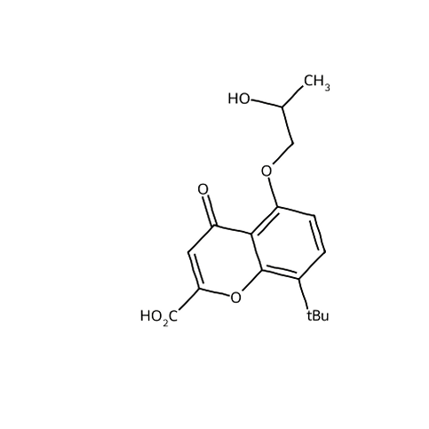 CC(O)COc1ccc(C(C)(C)C)c2oc(C(=O)O)cc(=O)c12